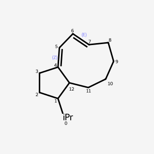 CC(C)C1CC/C2=C/C=C/CCCCC21